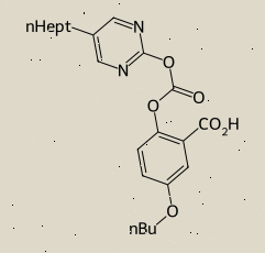 CCCCCCCc1cnc(OC(=O)Oc2ccc(OCCCC)cc2C(=O)O)nc1